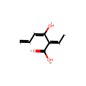 C=C/C=C(O)\C(=C/C)C(=O)O